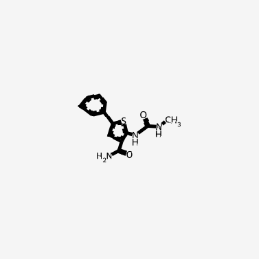 CNC(=O)Nc1sc(-c2ccccc2)cc1C(N)=O